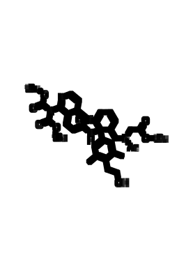 CC(=O)N(CC(=O)OC(C)(C)C)CC1C=CC=C([N+](=O)[O-])C1(Nc1ccc2c(N(C(=O)OC(C)(C)C)C(=O)OC(C)(C)C)nccc2c1)c1cc(C)c(CCO)c(C)c1